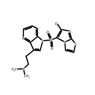 CN(C)CCc1cn(S(=O)(=O)c2c(Cl)nc3sccn23)c2cccnc12